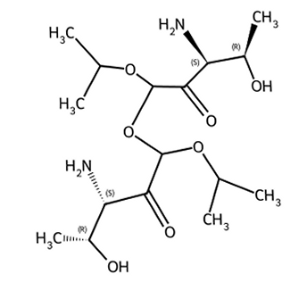 CC(C)OC(OC(OC(C)C)C(=O)[C@@H](N)[C@@H](C)O)C(=O)[C@@H](N)[C@@H](C)O